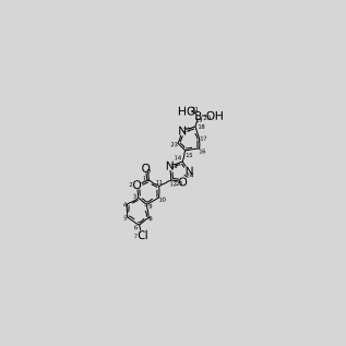 O=c1oc2ccc(Cl)cc2cc1-c1nc(-c2ccc(B(O)O)nc2)no1